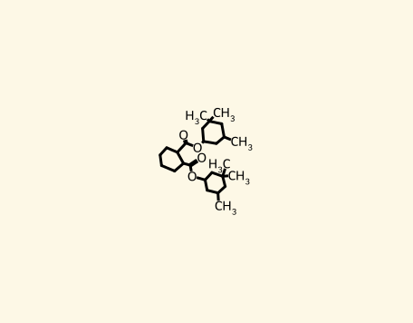 CC1CC(OC(=O)C2CCCCC2C(=O)OC2CC(C)CC(C)(C)C2)CC(C)(C)C1